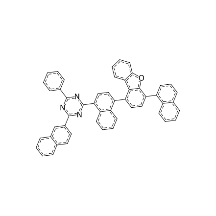 c1ccc(-c2nc(-c3ccc4ccccc4c3)nc(-c3ccc(-c4ccc(-c5cccc6ccccc56)c5oc6ccccc6c45)c4ccccc34)n2)cc1